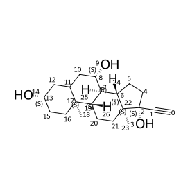 C#C[C@]1(O)CC[C@H]2[C@@H]3[C@@H](O)CC4C[C@@H](O)CC[C@]4(C)[C@H]3CC[C@@]21C